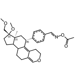 COC[C@]1(OC)CCC2C3CCC4=COCCC4=C3[C@@H](c3ccc(C=NOC(C)=O)cc3)C[C@@]21C